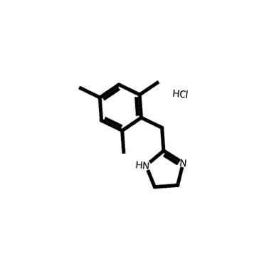 Cc1cc(C)c(CC2=NCCN2)c(C)c1.Cl